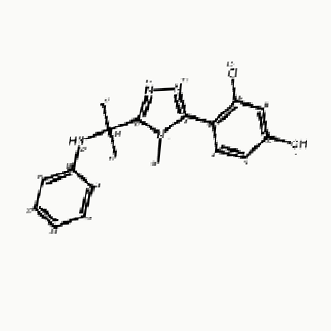 Cn1c(-c2ccc(O)cc2Cl)nnc1C(C)(C)Nc1ccccc1